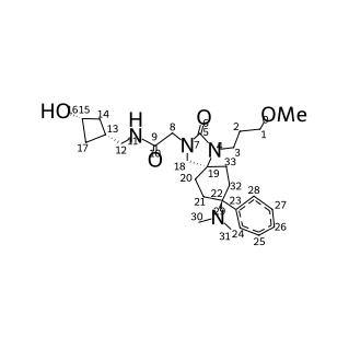 COCCCN1C(=O)N(CC(=O)NC[C@H]2C[C@@H](O)C2)C[C@]12CC[C@](c1ccccc1)(N(C)C)CC2